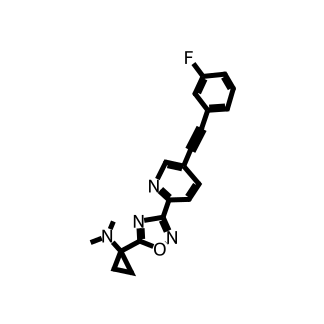 CN(C)C1(c2nc(-c3ccc(C#Cc4cccc(F)c4)cn3)no2)CC1